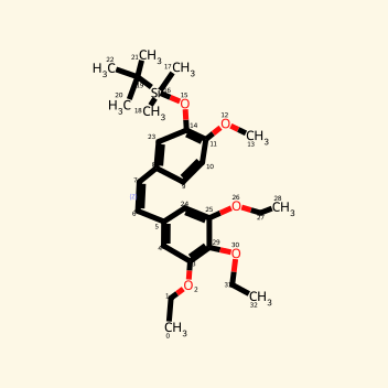 CCOc1cc(/C=C\c2ccc(OC)c(O[Si](C)(C)C(C)(C)C)c2)cc(OCC)c1OCC